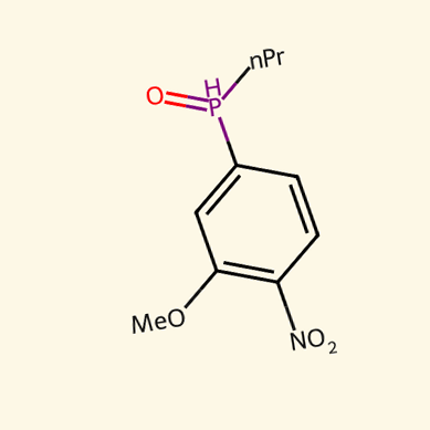 CCC[PH](=O)c1ccc([N+](=O)[O-])c(OC)c1